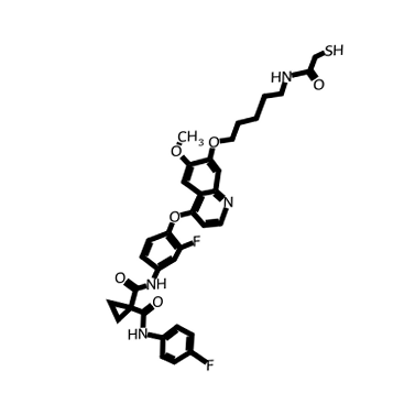 COc1cc2c(Oc3ccc(NC(=O)C4(C(=O)Nc5ccc(F)cc5)CC4)cc3F)ccnc2cc1OCCCCCNC(=O)CS